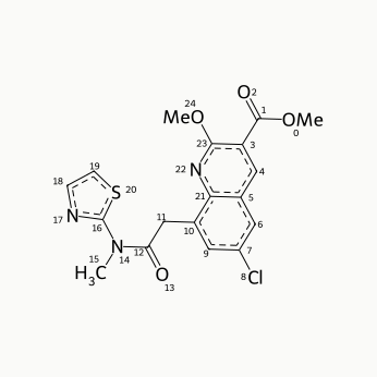 COC(=O)c1cc2cc(Cl)cc(CC(=O)N(C)c3nccs3)c2nc1OC